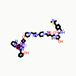 Cc1ncsc1-c1ccc([C@H](C)NC(=O)[C@@H]2C[C@@H](O)CN2C(=O)[C@H](c2cc(N3CCC(n4cnc(CN5CCC(OC6CC(Oc7cc(N8C9CC[C@@H]8CN(c8cc(-c%10ccccc%10O)nnc8N)C9)ccn7)C6)CC5)c4)CC3)no2)C(C)C)cc1